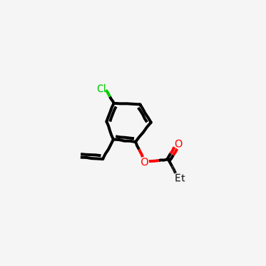 C=Cc1cc(Cl)ccc1OC(=O)CC